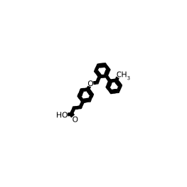 Cc1ccccc1-c1ccccc1COc1ccc(CCC(=O)O)cc1